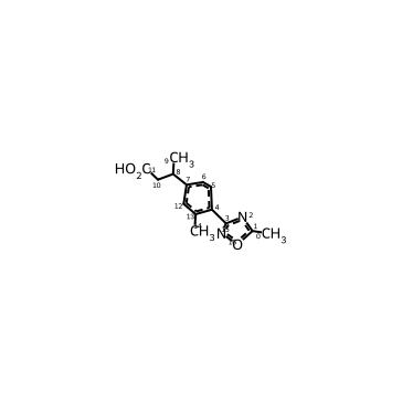 Cc1nc(-c2ccc(C(C)CC(=O)O)cc2C)no1